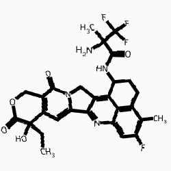 CCC1(O)C(=O)OCc2c1cc1n(c2=O)Cc2c-1nc1cc(F)c(C)c3c1c2C(NC(=O)C(C)(N)C(F)(F)F)CC3